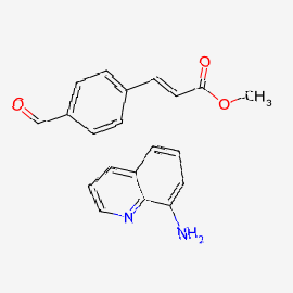 COC(=O)/C=C/c1ccc(C=O)cc1.Nc1cccc2cccnc12